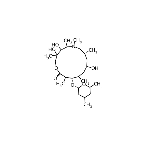 CC1CC(C)O[C@@H](O[C@@H]2C(C)C(=O)OCC(C)(O)C(O)C(C)N(C)C[C@H](C)CC(O)C[C@H]2C)C1